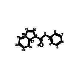 O=C(Cc1ccccc1)C1C=Cc2ccccc21